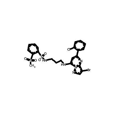 CS(=O)(=O)c1ccccc1S(=O)(=O)NCCCNc1cc(-c2ccccc2Cl)nc2c(Br)cnn12